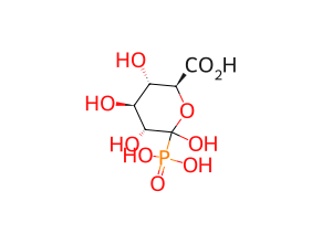 O=C(O)[C@H]1OC(O)(P(=O)(O)O)[C@H](O)[C@@H](O)[C@@H]1O